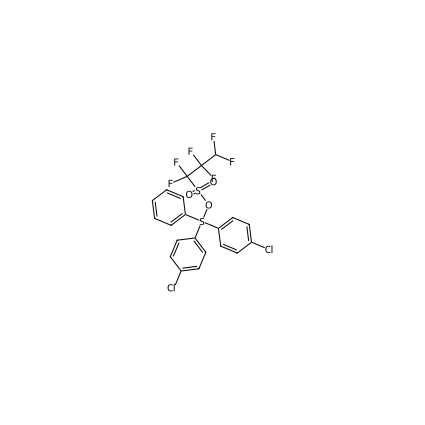 O=S(=O)(OS(c1ccccc1)(c1ccc(Cl)cc1)c1ccc(Cl)cc1)C(F)(F)C(F)(F)C(F)F